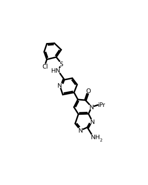 CC(C)n1c(=O)c(-c2ccc(NSc3ccccc3Cl)nc2)cc2cnc(N)nc21